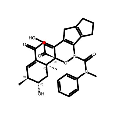 C[C@H]1C=C2C(=O)C=C3C4=C(C5=C(CCC5)C4)N(C(=O)N(C)c4ccccc4)O[C@]3(C(=O)CO)[C@@]2(C)C[C@@H]1O